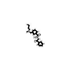 CCCCN(C)Cc1cccc(C(=O)NCC(=O)c2ccccc2)c1